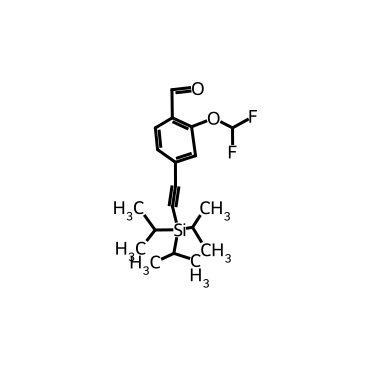 CC(C)[Si](C#Cc1ccc(C=O)c(OC(F)F)c1)(C(C)C)C(C)C